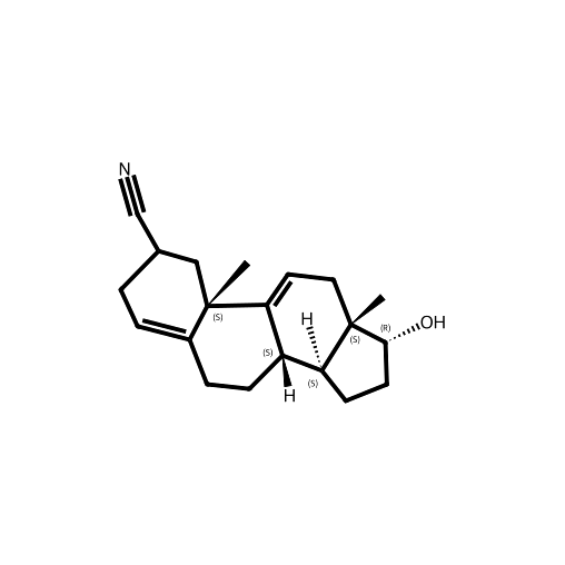 C[C@]12CC(C#N)CC=C1CC[C@@H]1C2=CC[C@]2(C)[C@H](O)CC[C@@H]12